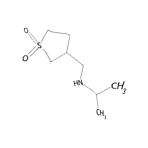 CC(C)NCC1CCS(=O)(=O)C1